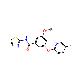 Cc1ccc(Oc2cc(OC(C)C)cc(C(=O)Nc3nccs3)c2)nc1